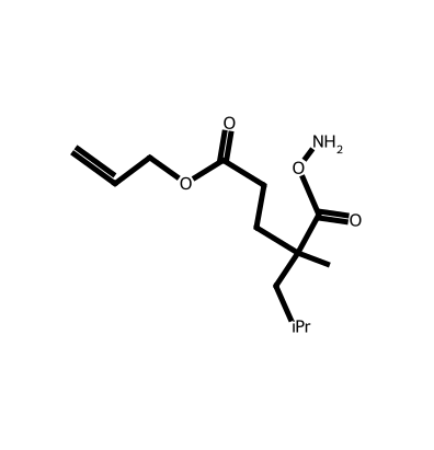 C=CCOC(=O)CCC(C)(CC(C)C)C(=O)ON